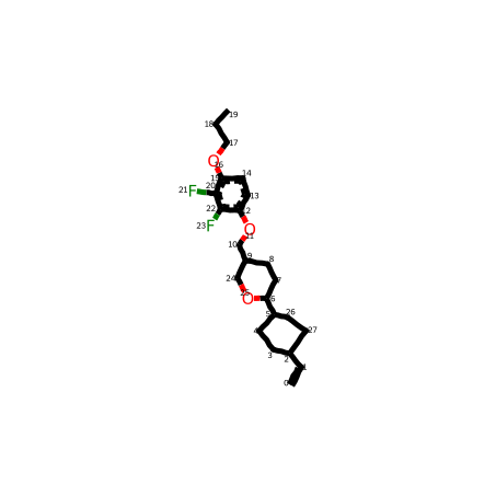 C=CC1CCC(C2CCC(COc3ccc(OCCC)c(F)c3F)CO2)CC1